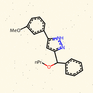 CCCOC(c1ccccc1)c1cc(-c2cccc(OC)c2)[nH]n1